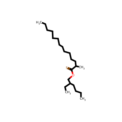 CCCCCCCCCCCCC(C)C(=S)OCC(CC)CCCC